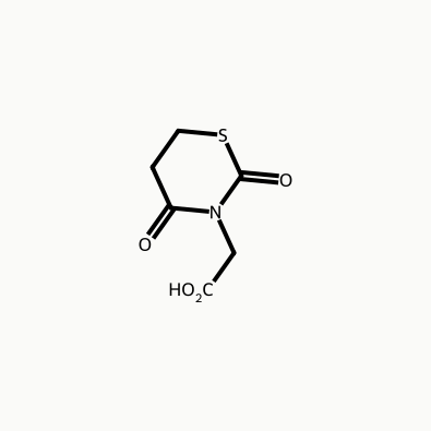 O=C(O)CN1C(=O)CCSC1=O